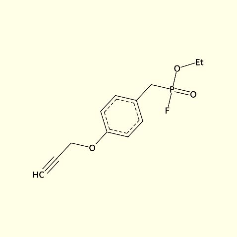 C#CCOc1ccc(CP(=O)(F)OCC)cc1